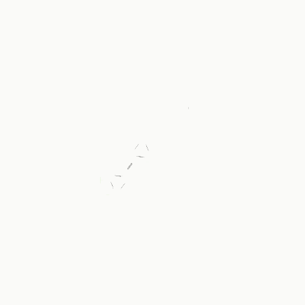 CCCC1CCC2CC(c3ccc(C#Cc4cc(F)c(F)c(F)c4)c(F)c3)CCC2C1